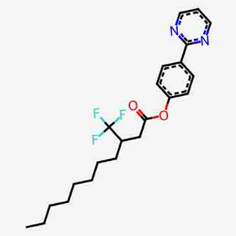 CCCCCCCCC(CC(=O)Oc1ccc(-c2ncccn2)cc1)C(F)(F)F